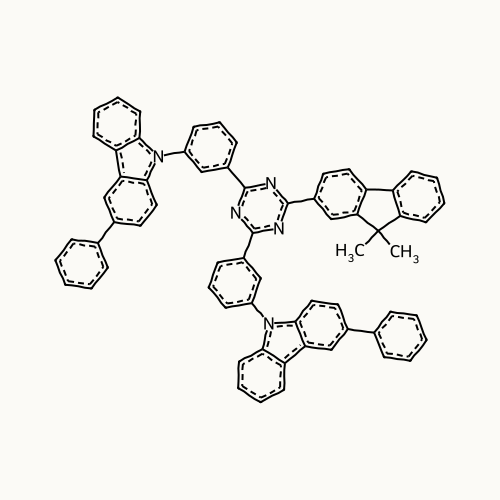 CC1(C)c2ccccc2-c2ccc(-c3nc(-c4cccc(-n5c6ccccc6c6cc(-c7ccccc7)ccc65)c4)nc(-c4cccc(-n5c6ccccc6c6cc(-c7ccccc7)ccc65)c4)n3)cc21